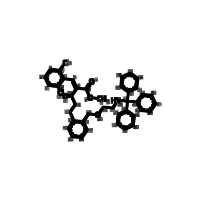 COC(=O)/C(=C/c1c(Cl)cccc1Cl)C(=O)CCc1ccccc1COCCNC(c1ccccc1)(c1ccccc1)c1ccccc1